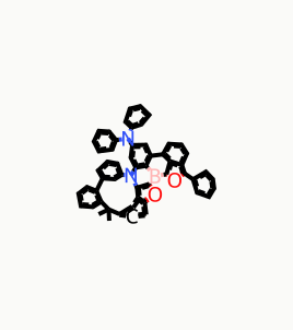 CC1(C)c2ccc3oc4c(c3c2)N(c2cccc(c2)-c2ccccc21)c1cc(N(c2ccccc2)c2ccccc2)cc2c1B4c1oc(-c3ccccc3)c3cccc-2c13